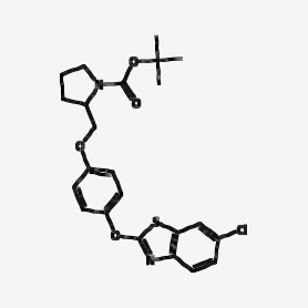 CC(C)(C)OC(=O)N1CCCC1COc1ccc(Oc2nc3ccc(Cl)cc3s2)cc1